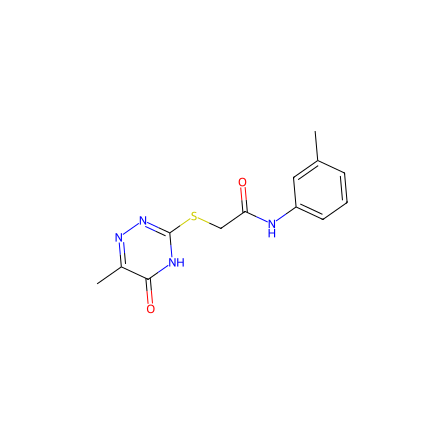 Cc1cccc(NC(=O)CSc2nnc(C)c(=O)[nH]2)c1